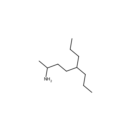 CCCC(CCC)CCC(C)N